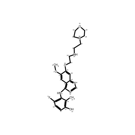 COc1cc2c(Nc3c(F)ccc(O)c3C)ncnc2cc1OCCNCCN1CCOCC1